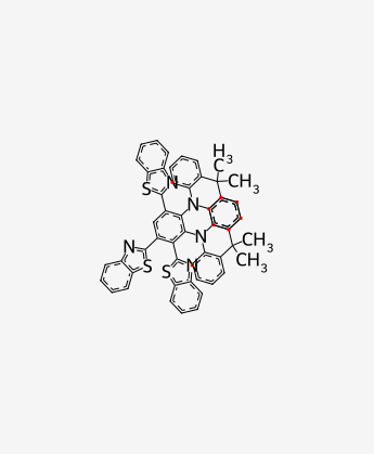 CC1(C)c2ccccc2N(c2c(-c3nc4ccccc4s3)cc(-c3nc4ccccc4s3)c(-c3nc4ccccc4s3)c2N2c3ccccc3C(C)(C)c3ccccc32)c2ccccc21